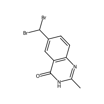 Cc1nc2ccc(C(Br)Br)cc2c(=O)[nH]1